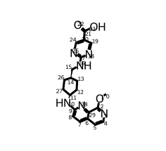 COc1nccc2ccc(N[C@H]3CC[C@H](CNc4ncc(C(=O)O)cn4)CC3)nc12